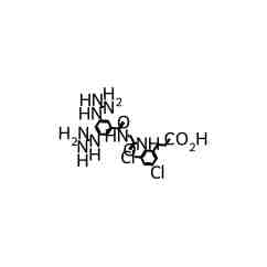 N=C(N)Nc1cc(NC(=N)N)cc(C(=O)NCC(=O)Nc2c(Cl)cc(Cl)cc2CCC(=O)O)c1